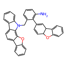 Nc1cccc(Cn2c3ccccc3c3ccc4c5ccccc5oc4c32)c1C1=CC2c3ccccc3OC2C=C1